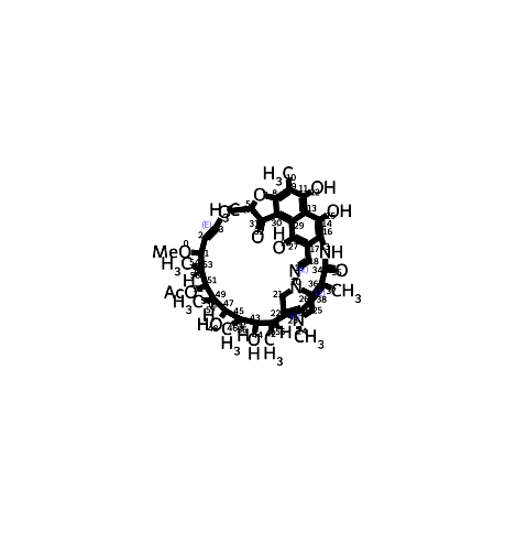 COC1/C=C/O[C@@]2(C)Oc3c(C)c(O)c4c(O)c(c(/C=N/N5CCN(C)CC5)c(O)c4c3C2=O)NC(=O)/C(C)=C\C=C\[C@H](C)C(O)[C@@H](C)C(O)[C@@H](C)C(OC(C)=O)[C@@H]1C